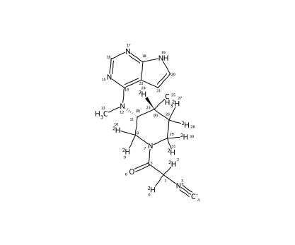 [2H]C([2H])([N+]#[C-])C(=O)N1C([2H])([2H])[C@H](N(C)c2ncnc3[nH]ccc23)[C@]([2H])(C)C([2H])([2H])C1([2H])[2H]